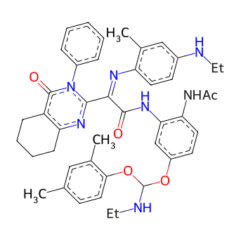 CCNc1ccc(/N=C(\C(=O)Nc2cc(OC(NCC)Oc3ccc(C)cc3C)ccc2NC(C)=O)c2nc3c(c(=O)n2-c2ccccc2)CCCC3)c(C)c1